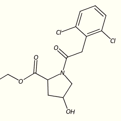 CCOC(=O)C1CC(O)CN1C(=O)Cc1c(Cl)cccc1Cl